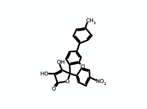 Cc1ccc(-c2ccc(C3(c4ccc([N+](=O)[O-])cc4)OC(=O)C(O)=C3O)c(Cl)c2)cc1